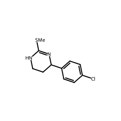 CSC1=NC(c2ccc(Cl)cc2)CCN1